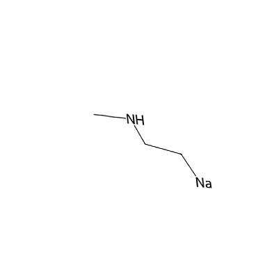 CNC[CH2][Na]